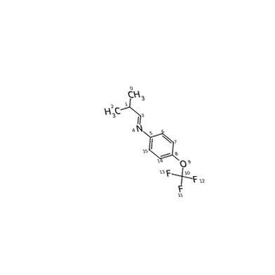 CC(C)/C=N/c1ccc(OC(F)(F)F)cc1